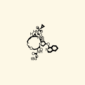 CC(C)(C)OC(=O)N[C@H]1COCCC/C=C\[C@@H]2C[C@@]2(C(=O)NS(=O)(=O)C2CC2)NC(=O)[C@@H]2CC(Oc3nccc4ccccc34)CN2C1=O